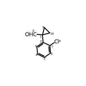 O=CC1(c2cc[c]cc2Cl)CC1